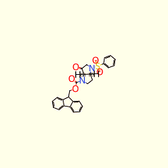 O=C1CN(S(=O)(=O)c2ccccc2)[C@@H]2CCN(C(=O)OCC3c4ccccc4-c4ccccc43)[C@H]12